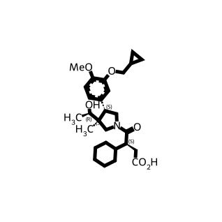 COc1ccc([C@@H]2CN(C(=O)[C@@H](CC(=O)O)C3CCCCC3)C[C@@]2(C)[C@@H](C)O)cc1OCC1CC1